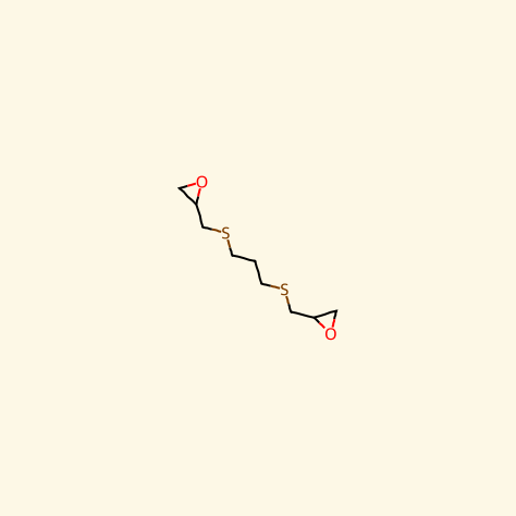 C(CSCC1CO1)CSCC1CO1